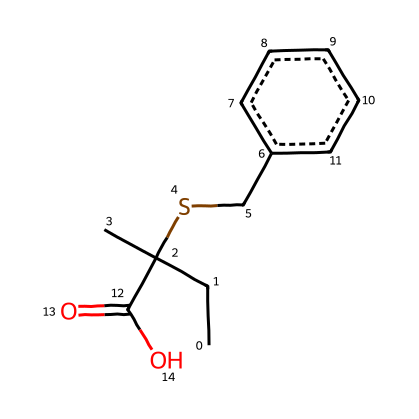 CCC(C)(SCc1ccccc1)C(=O)O